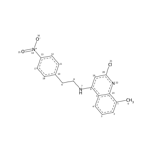 Cc1cccc2c(NCCc3ccc([N+](=O)[O-])cc3)cc(Cl)nc12